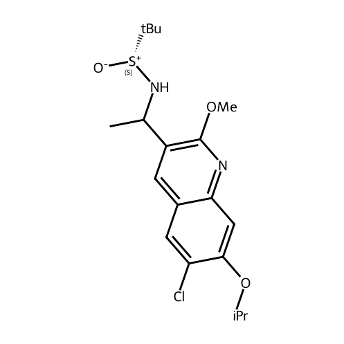 COc1nc2cc(OC(C)C)c(Cl)cc2cc1C(C)N[S@+]([O-])C(C)(C)C